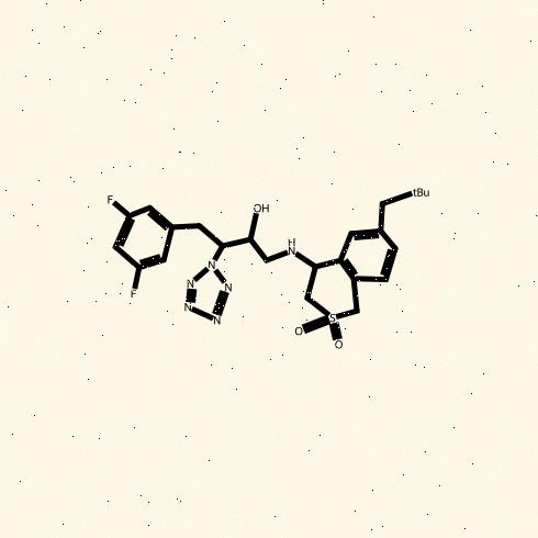 CC(C)(C)Cc1ccc2c(c1)C(NCC(O)C(Cc1cc(F)cc(F)c1)n1nnnn1)CS(=O)(=O)C2